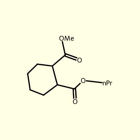 CCCOC(=O)C1CCCCC1C(=O)OC